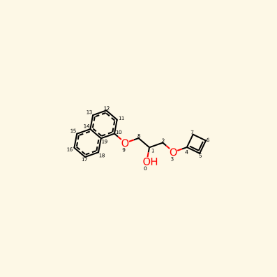 OC(COC1=C=CC1)COc1cccc2ccccc12